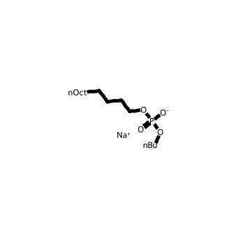 CCCCCCCCCCCCOP(=O)([O-])OCCCC.[Na+]